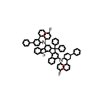 Fc1ccc(N(C2=C(c3ccccc3)CC(c3ccccc3)C=C2)c2cc3c(c4ccccc24)-c2c(cc(N(c4ccc(F)cc4)c4ccc(-c5ccccc5)cc4-c4ccccc4)c4c2sc2ccccc24)C3(c2ccccc2)c2ccccc2)cc1